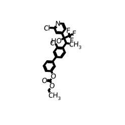 CCOC(=O)Oc1cccc(-c2ccc(C(C)C(O)(c3ccnc(Cl)c3)C(F)(F)F)c(Cl)c2)c1